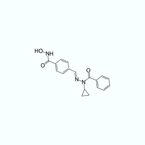 O=C(NO)c1ccc(/C=N/N(C(=O)c2ccccc2)C2CC2)cc1